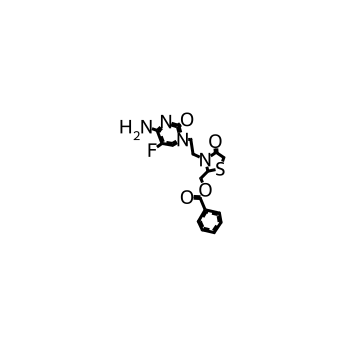 Nc1nc(=O)n(CCN2C(=O)CSC2COC(=O)c2ccccc2)cc1F